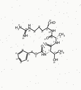 C[C@H](NC(=O)[C@@H](NC(=O)OCc1ccccc1)[C@@H](C)O)C(=O)N[C@H]([C]=O)CCCNC(=N)N